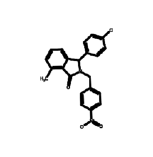 Cc1cccc2c1C(=O)N(Cc1ccc([N+](=O)[O-])cc1)C2c1ccc(Cl)cc1